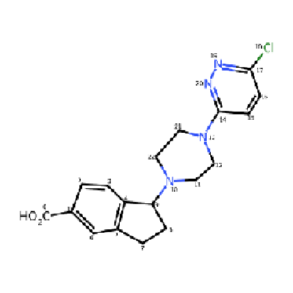 O=C(O)c1ccc2c(c1)CCC2N1CCN(c2ccc(Cl)nn2)CC1